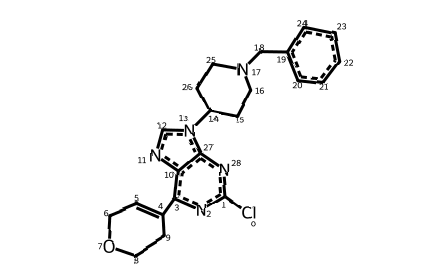 Clc1nc(C2=CCOCC2)c2ncn(C3CCN(Cc4ccccc4)CC3)c2n1